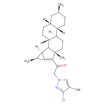 C[C@H]1CC[C@H]2[C@H](CC[C@H]3C4[C@H]5C(=C(C(=O)Cn6cc(C#N)c(Cl)n6)[C@@]4(C)CC[C@H]23)[C@H]5C)C1